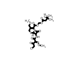 COCC1=C(C(=O)OCOC(=O)CC(C)(C)C)N2C(=O)C(NC(=O)C(=NOC)C(=O)CCl)[C@@H]2SC1